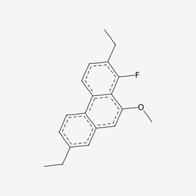 CCc1ccc2c(c1)cc(OC)c1c(F)c(CC)ccc12